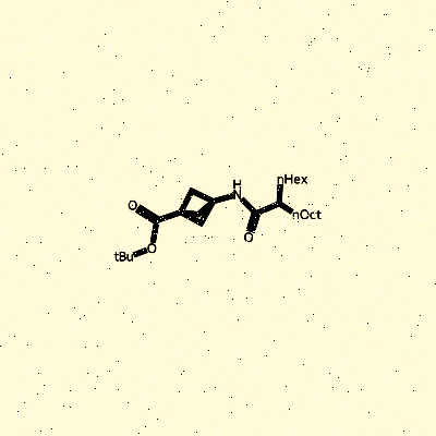 CCCCCCCCC(CCCCCC)C(=O)NC12CC(C(=O)OC(C)(C)C)(C1)C2